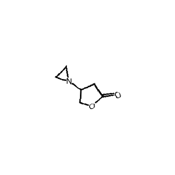 O=C1CC(N2CC2)CO1